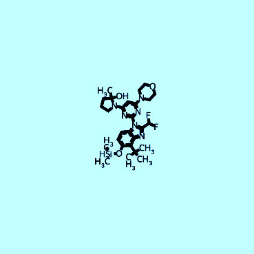 C[SiH](C)Oc1ccc2c(nc(C(F)F)n2-c2nc(N3CCOCC3)cc(N3CCCC3(C)O)n2)c1C(C)(C)C